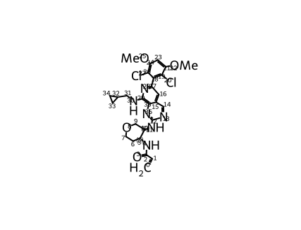 C=CC(=O)N[C@H]1CCOC[C@H]1Nc1ncc2cc(-c3c(Cl)c(OC)cc(OC)c3Cl)nc(NCC3CC3)c2n1